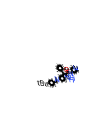 CC(C)(C)c1ccc(/C=N/c2ccc3[nH]c(C(=O)Nc4ccncc4)c(-c4ccccc4)c3c2)cc1